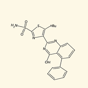 CCCCc1sc(S(N)(=O)=O)nc1-c1nc(O)c2c(-c3ccccc3)cccc2n1